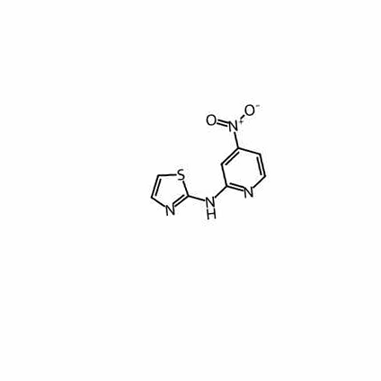 O=[N+]([O-])c1ccnc(Nc2nccs2)c1